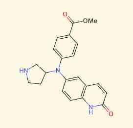 COC(=O)c1ccc(N(c2ccc3[nH]c(=O)ccc3c2)C2CCNC2)cc1